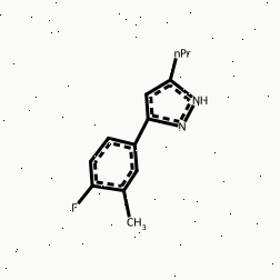 CCCc1cc(-c2ccc(F)c(C)c2)n[nH]1